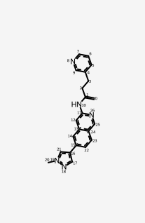 C=C(CCc1cccnc1)Nc1cc2cc(-c3cnn(C)c3)ccc2cn1